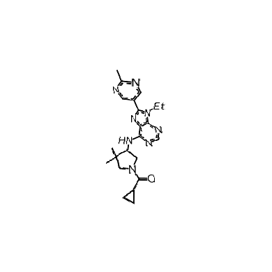 CCn1c(-c2cnc(C)nc2)nc2c(NC3CN(C(=O)C4CC4)CC3(C)C)ncnc21